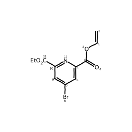 C=COC(=O)c1cc(Br)cc(C(=O)OCC)n1